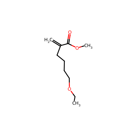 C=C(CCCCOCC)C(=O)OC